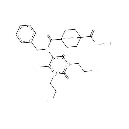 CCCn1c(N)c(N(Cc2ccccc2)C(=O)C23CCC(C(=O)OC)(CC2)CC3)c(=O)n(CCC)c1=O